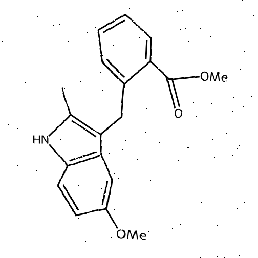 COC(=O)c1ccccc1Cc1c(C)[nH]c2ccc(OC)cc12